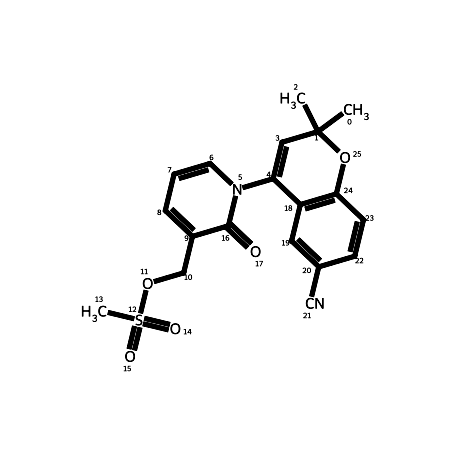 CC1(C)C=C(n2cccc(COS(C)(=O)=O)c2=O)c2cc(C#N)ccc2O1